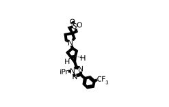 CC(C)n1nc(-c2cccc(C(F)(F)F)c2)nc1C1[C@H]2CC(N3CCC4(C3)CS(=O)(=O)C4)C[C@@H]12